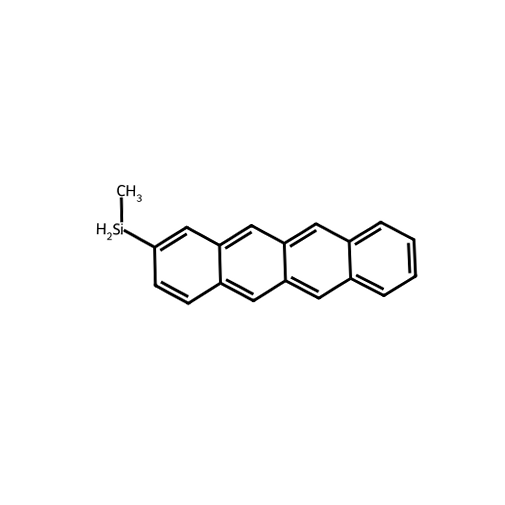 C[SiH2]c1ccc2cc3cc4ccccc4cc3cc2c1